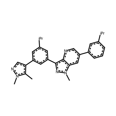 Cc1c(-c2cc(-c3nn(C)c4cc(-c5cccc(C(C)C)c5)cnc34)cc(C(C)C)c2)cnn1C